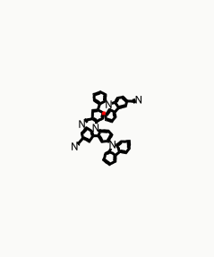 N#Cc1ccc2c(c1)c1cc(-n3c4ccccc4c4ccccc43)ccc1n2-c1ccc(-c2ccccc2-n2c3ccccc3c3cc(C#N)ccc32)cc1C#N